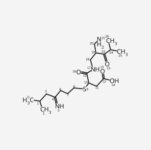 CC(C)CC(=N)CCCSC(CC(=O)O)C(=O)NCC(CN)C(=O)C(C)C